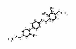 CCCc1ccc(-c2ccc(OCc3ccc(CC)c(F)c3F)cc2)c(F)c1